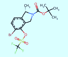 C[C@H]1c2ccc(Br)c(OS(=O)(=O)C(F)(F)F)c2CN1C(=O)OC(C)(C)C